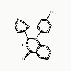 Cc1ccc(-c2c(-c3ccccc3)[nH]c(=O)c3ccccc23)cc1